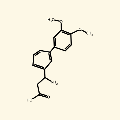 COc1ccc(-c2cccc(C(N)CC(=O)O)c2)cc1OC